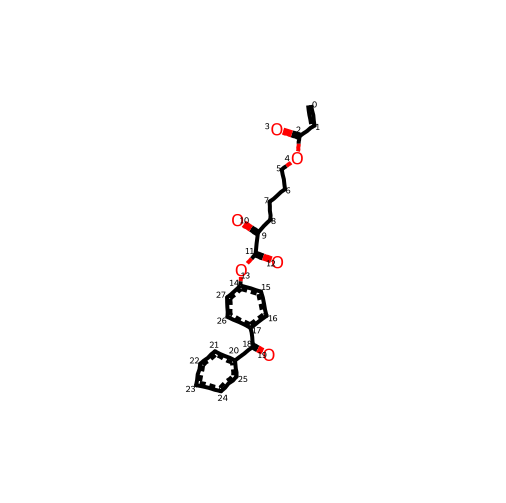 C=CC(=O)OCCCCC(=O)C(=O)Oc1ccc(C(=O)c2ccccc2)cc1